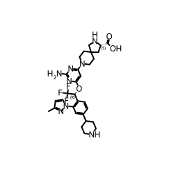 Cc1ccn(-c2cc(C3CCNCC3)ccc2[C@@H](Oc2cc(N3CCC4(CC3)CN[C@H](C(=O)O)C4)nc(N)n2)C(F)(F)F)n1